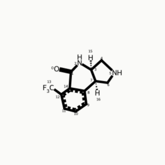 O=C1N[C@H]2CNC[C@H]2c2cccc(C(F)(F)F)c21